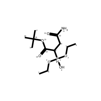 CCO[PH](O)(OCC)C(CC(N)=O)C(=O)OC(C)(C)C